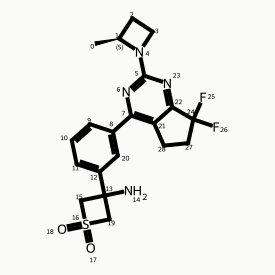 C[C@H]1CCN1c1nc(-c2cccc(C3(N)CS(=O)(=O)C3)c2)c2c(n1)C(F)(F)CC2